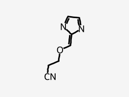 N#CCCOC=C1N=CC=N1